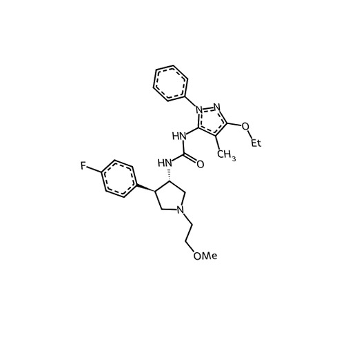 CCOc1nn(-c2ccccc2)c(NC(=O)N[C@@H]2CN(CCOC)C[C@H]2c2ccc(F)cc2)c1C